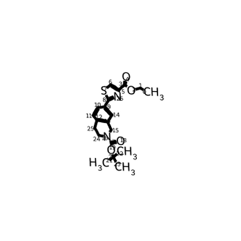 CCOC(=O)c1csc(-c2ccc3c(c2)CN(C(=O)OC(C)(C)C)CC3)n1